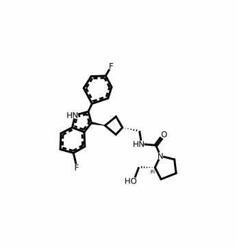 O=C(NC[C@H]1C[C@H](c2c(-c3ccc(F)cc3)[nH]c3ccc(F)cc32)C1)N1CCC[C@@H]1CO